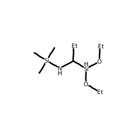 CCO[SiH](OCC)C(CC)N[Si](C)(C)C